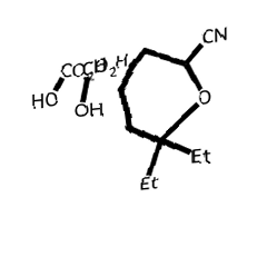 CCC1(CC)CCCC(C#N)O1.O=C(O)O.O=C(O)O